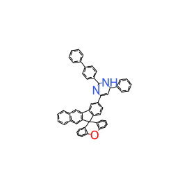 C1=C(c2ccc3c(c2)-c2cc4ccccc4cc2C32c3ccccc3Oc3ccccc32)N=C(c2ccc(-c3ccccc3)cc2)NC1c1ccccc1